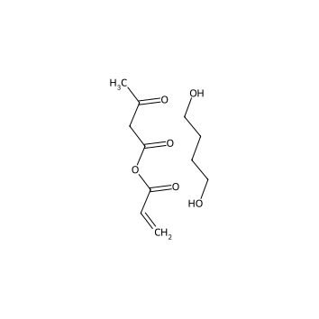 C=CC(=O)OC(=O)CC(C)=O.OCCCCO